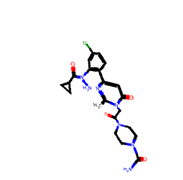 Cc1nc(-c2ccc(Cl)cc2N(N)C(=O)C2CC2)cc(=O)n1CC(=O)N1CCN(C(N)=O)CC1